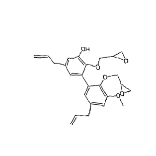 C=CCc1cc(O)c(OCC2CO2)c(-c2cc(CC=C)cc(OC)c2OCC2CO2)c1